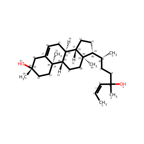 C/C=C\C(C)(O)CC[C@@H](C)[C@H]1CC[C@H]2[C@@H]3CC=C4C[C@@](C)(O)CC[C@]4(C)[C@H]3CC[C@]12C